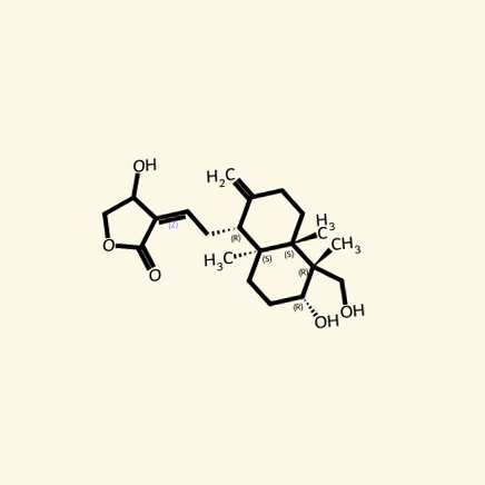 C=C1CC[C@@]2(C)[C@@](C)(CC[C@@H](O)[C@@]2(C)CO)[C@@H]1C/C=C1\C(=O)OCC1O